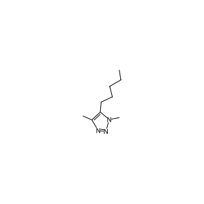 CCCCCc1c(C)nnn1C